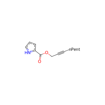 CCCCCC#CCOC(=O)c1ccc[nH]1